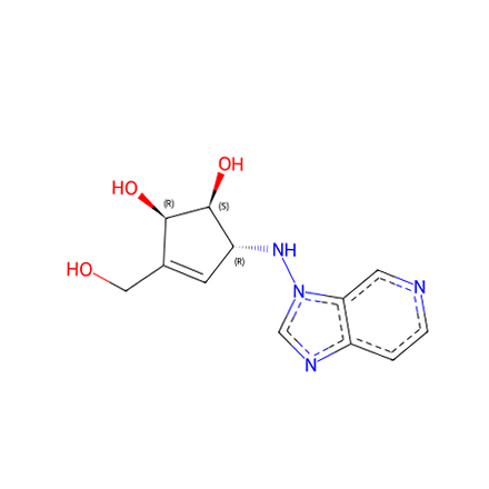 OCC1=C[C@@H](Nn2cnc3ccncc32)[C@H](O)[C@@H]1O